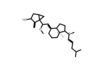 C=C1C(O)CC2CC12C(/C=C1\CCC[C@@]2(C)C1CCC2[C@@H](C)/C=C/CC(C)C)OC